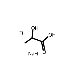 CC(O)C(=O)O.[NaH].[Ti]